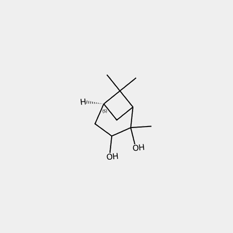 CC1(O)C(O)C[C@@H]2CC1C2(C)C